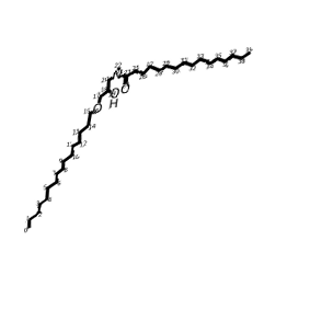 CCCCCCCCCCCCCCCCOCC(O)CN(C)C(=O)CCCCCCCCCCCCCCC